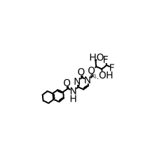 C[C@@H](OC(CO)C(O)C(F)F)n1ccc(NC(=O)c2ccc3c(c2)CCCC3)nc1=O